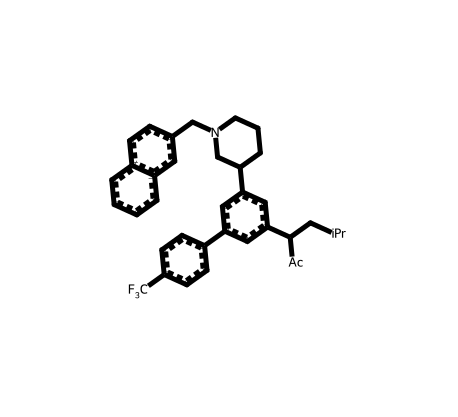 CC(=O)C(CC(C)C)c1cc(-c2ccc(C(F)(F)F)cc2)cc(C2CCCN(Cc3ccc4ccccc4c3)C2)c1